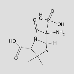 CC1(C)S[C@H]2N(C(=O)C2(N)P(=O)(O)O)[C@H]1C(=O)O